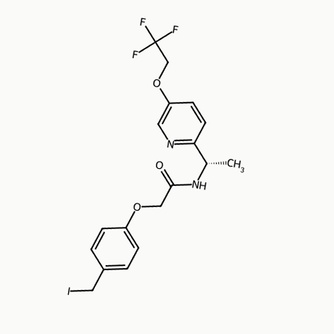 C[C@H](NC(=O)COc1ccc(CI)cc1)c1ccc(OCC(F)(F)F)cn1